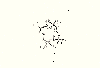 CC(=O)OCC[N+](C)(C)C.C[N+](C)(C)CCOP(=O)(O)O